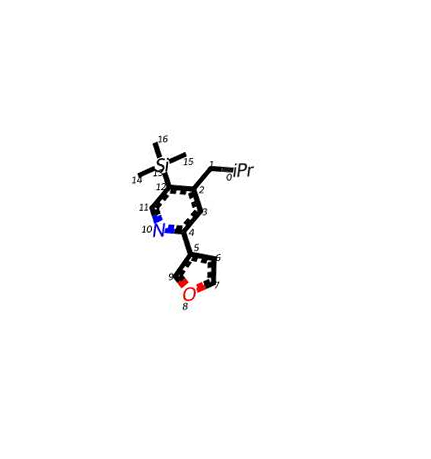 CC(C)Cc1cc(-c2ccoc2)ncc1[Si](C)(C)C